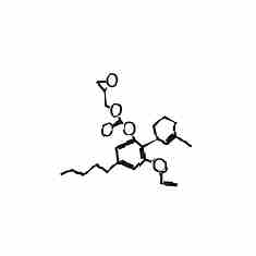 C=COc1cc(CCCCC)cc(OC(=O)OCC2CO2)c1[C@@H]1C=C(C)CCC1